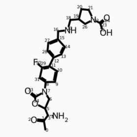 CC(=O)[C@@H](N)C1CN(c2ccc(-c3ccc(CNCC4CCN(C(=O)O)C4)cc3)c(F)c2)C(=O)O1